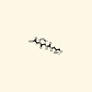 N[C@H](C=O)CNC(=O)N[C@@H](CS)C(=O)NCC(=O)O